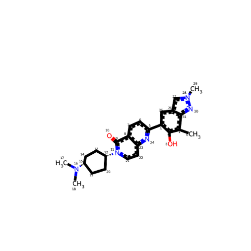 Cc1c(O)c(-c2ccc3c(=O)n([C@H]4CC[C@@H](N(C)C)CC4)ccc3n2)cc2cn(C)nc12